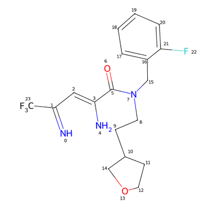 N=C(/C=C(\N)C(=O)N(CCC1CCOC1)Cc1ccccc1F)C(F)(F)F